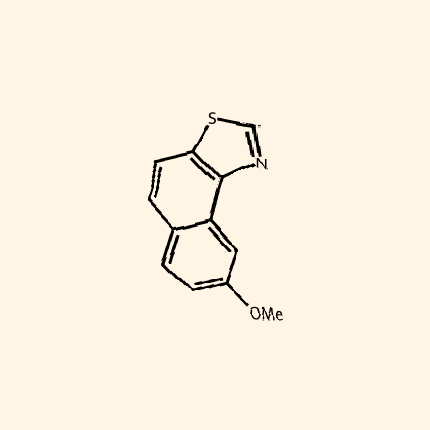 COc1ccc2ccc3s[c]nc3c2c1